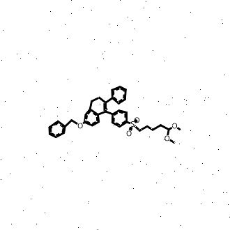 COC(CCCCS(=O)(=O)c1ccc(C2=C(c3ccccc3)CCc3cc(OCc4ccccc4)ccc32)cc1)OC